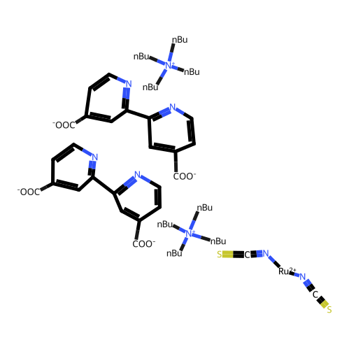 CCCC[N+](CCCC)(CCCC)CCCC.CCCC[N+](CCCC)(CCCC)CCCC.O=C([O-])c1ccnc(-c2cc(C(=O)[O-])ccn2)c1.O=C([O-])c1ccnc(-c2cc(C(=O)[O-])ccn2)c1.S=C=[N][Ru+2][N]=C=S